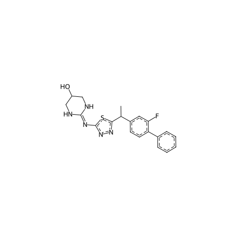 CC(c1ccc(-c2ccccc2)c(F)c1)c1nnc(N=C2NCC(O)CN2)s1